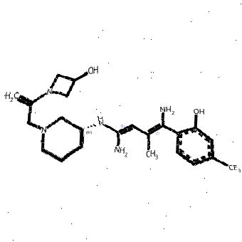 C=C(CN1CCC[C@@H](N/C(N)=C/C(C)=C(\N)c2ccc(C(F)(F)F)cc2O)C1)N1CC(O)C1